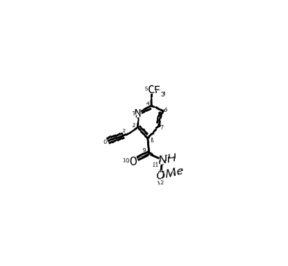 C#Cc1nc(C(F)(F)F)ccc1C(=O)NOC